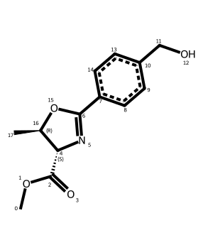 COC(=O)[C@H]1N=C(c2ccc(CO)cc2)O[C@@H]1C